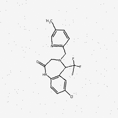 Cc1ccc(CN2CC(=O)Nc3ccc(Cl)cc3C2C(F)(F)F)nc1